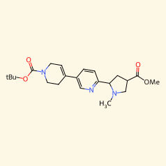 COC(=O)C1CC(c2ccc(C3=CCN(C(=O)OC(C)(C)C)CC3)cn2)N(C)C1